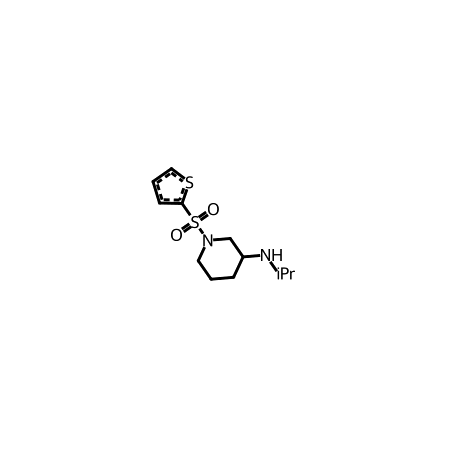 CC(C)NC1CCCN(S(=O)(=O)c2cccs2)C1